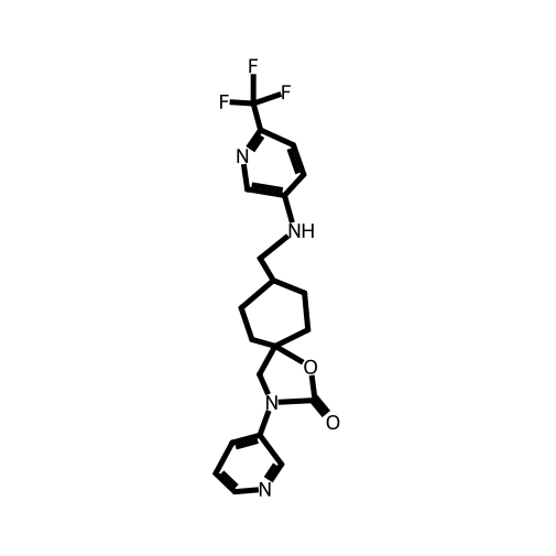 O=C1OC2(CCC(CNc3ccc(C(F)(F)F)nc3)CC2)CN1c1cccnc1